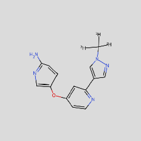 [2H]C([2H])([2H])n1cc(-c2cc(Oc3ccc(N)nc3)ccn2)cn1